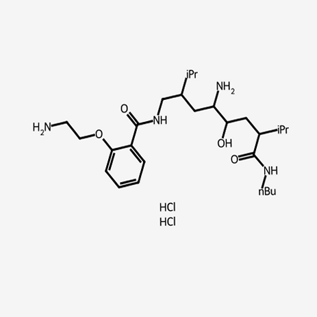 CCCCNC(=O)C(CC(O)C(N)CC(CNC(=O)c1ccccc1OCCN)C(C)C)C(C)C.Cl.Cl